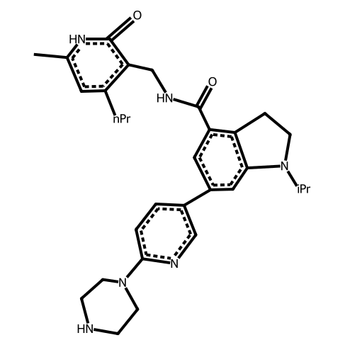 CCCc1cc(C)[nH]c(=O)c1CNC(=O)c1cc(-c2ccc(N3CCNCC3)nc2)cc2c1CCN2C(C)C